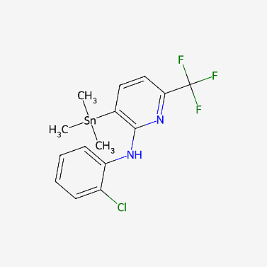 [CH3][Sn]([CH3])([CH3])[c]1ccc(C(F)(F)F)nc1Nc1ccccc1Cl